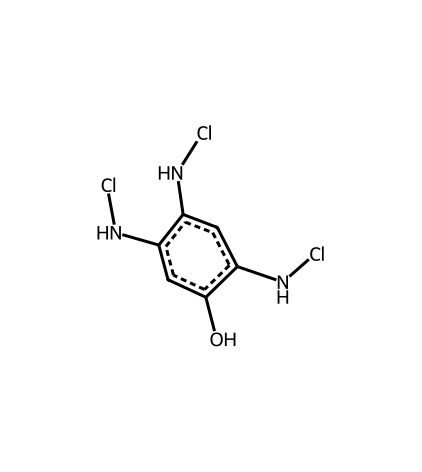 Oc1cc(NCl)c(NCl)cc1NCl